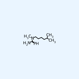 CC(C)CCCCN(C)C(N)=P